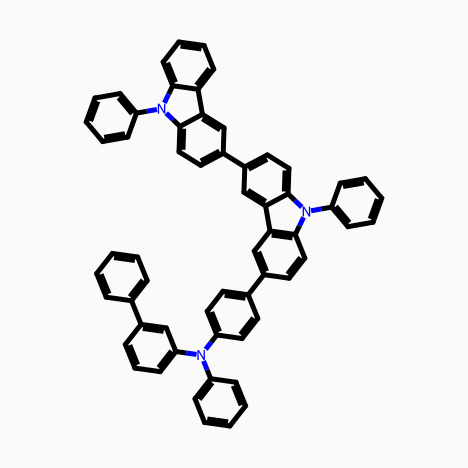 c1ccc(-c2cccc(N(c3ccccc3)c3ccc(-c4ccc5c(c4)c4cc(-c6ccc7c(c6)c6ccccc6n7-c6ccccc6)ccc4n5-c4ccccc4)cc3)c2)cc1